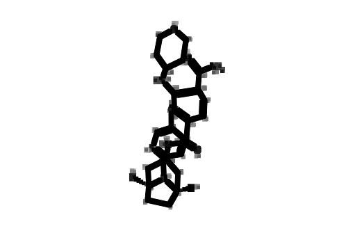 CC(=O)c1ccc(N2[C@@H]3CC[C@H]2C[C@@H](NC(=O)c2ccc(C(N)=O)c(NC4CCOCC4)c2)C3)nc1